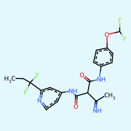 CCC(F)(F)c1cc(NC(=O)C(C(C)=N)C(=O)Nc2ccc(OC(F)F)cc2)ccn1